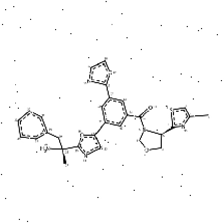 Cc1csc([C@H]2COCN2C(=O)c2cc(-c3ncco3)cc(-c3nnc([C@](C)(N)Cc4ccccc4)o3)c2)n1